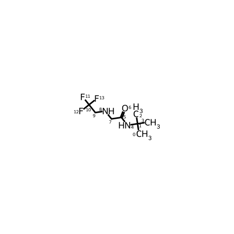 CC(C)(C)NC(=O)CNCC(F)(F)F